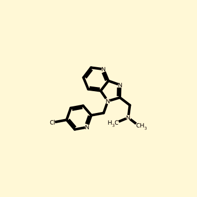 CN(C)Cc1nc2ncccc2n1Cc1ccc(Cl)cn1